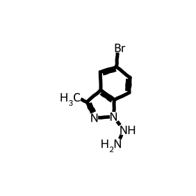 Cc1nn(NN)c2ccc(Br)cc12